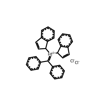 C1=C[CH]([Hf+2](=[C](c2ccccc2)c2ccccc2)[CH]2C=Cc3ccccc32)c2ccccc21.[Cl-].[Cl-]